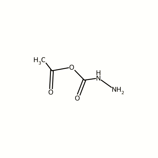 CC(=O)OC(=O)NN